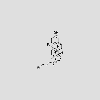 CC(C)CCCC(C)[C@H]1CC[C@H]2[C@@H]3CC=C4C[C@@H](O)CC[C@]4(CF)[C@H]3CC[C@]12C